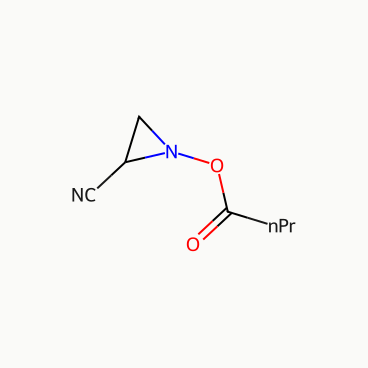 CCCC(=O)ON1CC1C#N